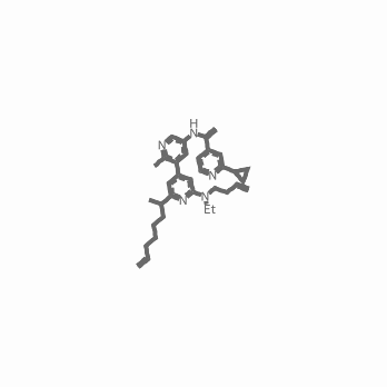 C=CCCCCC(C)c1cc(-c2cc(NC(=C)c3ccnc(C4CC4)c3)cnc2C)cc(N(CC)CCC=C)n1